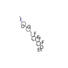 C/C=C/C1CCC(C2CCC(CCc3ccc(-c4ccc(OCC)c(F)c4F)c(F)c3F)CO2)OC1